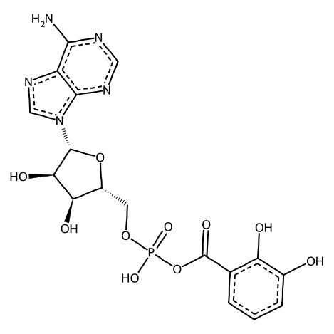 Nc1ncnc2c1ncn2[C@@H]1O[C@H](COP(=O)(O)OC(=O)c2cccc(O)c2O)[C@@H](O)[C@H]1O